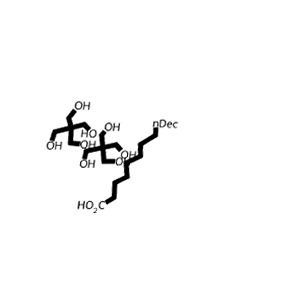 CCCCCCCCCCCCCCCCCC(=O)O.OCC(CO)(CO)CO.OCC(CO)(CO)CO